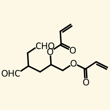 C=CC(=O)OCC(CC(C=O)CC=O)OC(=O)C=C